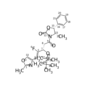 Cc1nc(/C=C(\F)[C@H](CC(=O)N2C(=O)O[C@H](c3ccccc3)[C@@H]2C)O[Si](C)(C)C(C)(C)C)co1